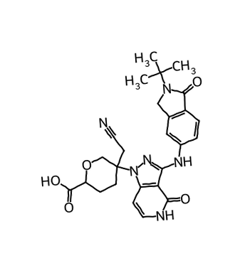 CC(C)(C)N1Cc2cc(Nc3nn(C4(CC#N)CCC(C(=O)O)OC4)c4cc[nH]c(=O)c34)ccc2C1=O